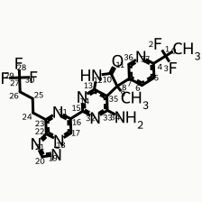 CC(F)(F)c1ccc(C2(C)C(=O)Nc3nc(-c4cn5ncnc5c(CCCC(F)(F)F)n4)nc(N)c32)cn1